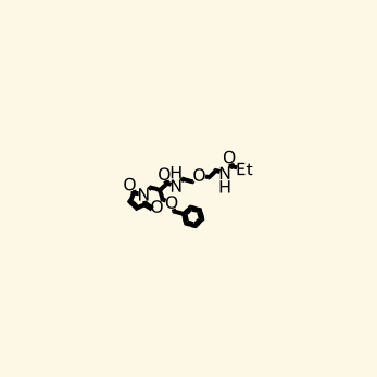 C=C1C=CC(=O)N1CC(C(=O)NCCOCCNC(=O)CC)C(=O)OCc1ccccc1